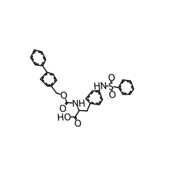 O=C(NC(Cc1ccc(NS(=O)(=O)c2ccccc2)cc1)C(=O)O)OCc1ccc(-c2ccccc2)cc1